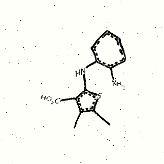 Cc1sc(Nc2ccccc2N)c(C(=O)O)c1C